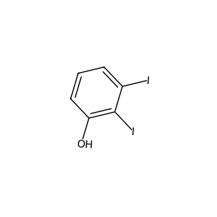 Oc1cccc(I)c1I